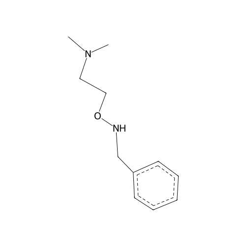 CN(C)CCONCc1ccccc1